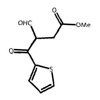 COC(=O)CC(C=O)C(=O)c1cccs1